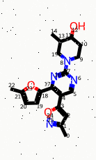 Cc1cc(-c2cnc(N3CCC(O)C(C)C3)nc2-c2ccc(C)o2)on1